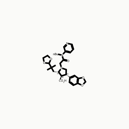 CCCCN(C(=O)CN1C[C@H](c2ccc3c(c2)OCO3)[C@@H](C(=O)O)[C@@H]1CC(C)(C)C1OCCO1)c1cccnc1